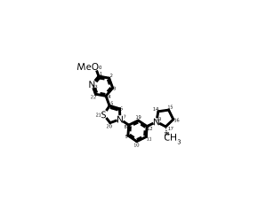 COc1ccc(C2=CN(c3cccc(N4CCC[C@@H]4C)c3)CS2)cn1